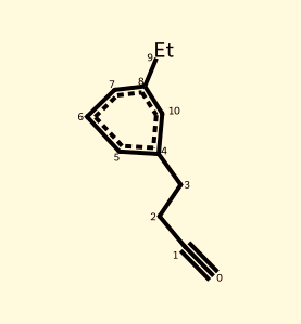 C#CCCc1cccc(C[CH2])c1